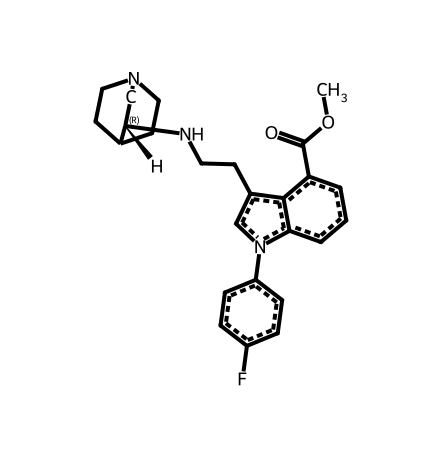 COC(=O)c1cccc2c1c(CCN[C@H]1CN3CCC1CC3)cn2-c1ccc(F)cc1